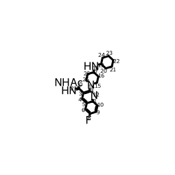 CC(=O)NC(=N)c1cc2cc(F)ccc2nc1N1CCC(NC2CCCCC2)CC1